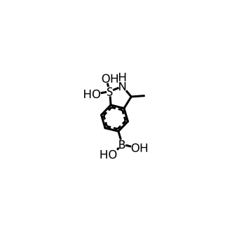 CC1NS(O)(O)c2ccc(B(O)O)cc21